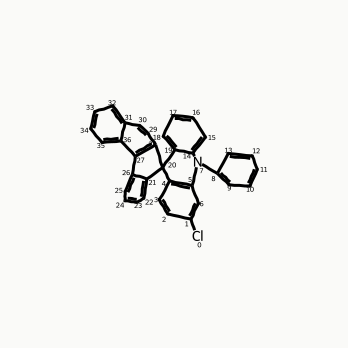 Clc1ccc2c(c1)N(c1ccccc1)c1ccccc1C21c2ccccc2-c2c1ccc1ccccc21